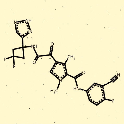 Cc1c(C(=O)C(=O)NC2(c3cn[nH]n3)CC(F)(F)C2)cn(C)c1C(=O)Nc1ccc(F)c(C#N)c1